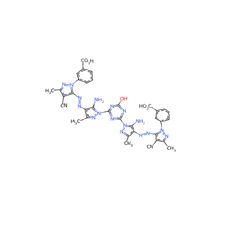 [C-]#[N+]c1c(C)nn(-c2cccc(C(=O)O)c2)c1N=Nc1c(C)nn(-c2nc(O)nc(-n3nc(C)c(N=Nc4c(C#N)c(C)nn4-c4cccc(C(=O)O)c4)c3N)n2)c1N